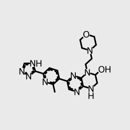 Cc1nc(-c2nnc[nH]2)ccc1-c1cnc2c(n1)N(CCN1CCOCC1)C(O)CN2